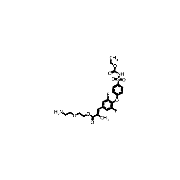 CCOC(=O)NS(=O)(=O)c1ccc(Oc2c(F)cc(/C=C(\C)C(=O)OCCOCCN)cc2F)cc1